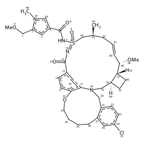 COCc1cc(C(=O)NS2(=O)=NC(=O)c3ccc4c(c3)N(Cc3ccc(Cl)cc3CCCCO4)C[C@@H]3CC[C@H]3[C@@H](OC)/C=C/C[C@H](C)C2)cn1C